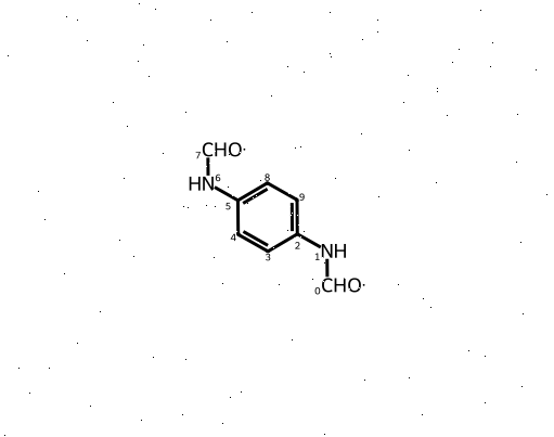 O=[C]Nc1ccc(N[C]=O)cc1